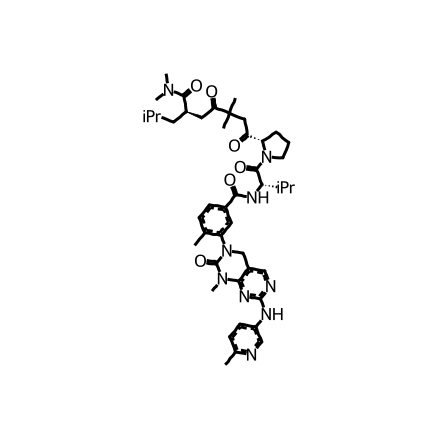 Cc1ccc(Nc2ncc3c(n2)N(C)C(=O)N(c2cc(C(=O)N[C@H](C(=O)N4CCC[C@H]4C(=O)CC(C)(C)C(=O)C[C@@H](CC(C)C)C(=O)N(C)C)C(C)C)ccc2C)C3)cn1